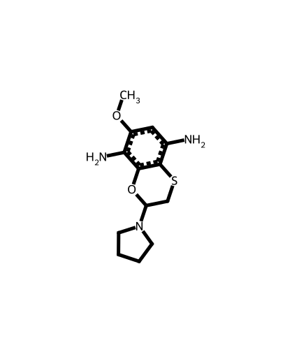 COc1cc(N)c2c(c1N)OC(N1CCCC1)CS2